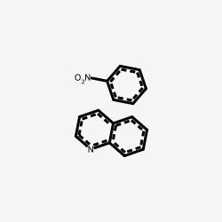 O=[N+]([O-])c1ccccc1.c1ccc2ncccc2c1